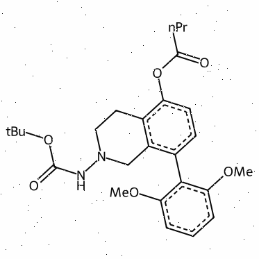 CCCC(=O)Oc1ccc(-c2c(OC)cccc2OC)c2c1CCN(NC(=O)OC(C)(C)C)C2